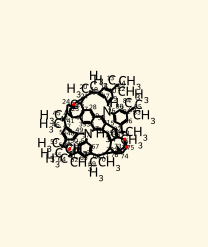 CC(C)(C)c1cc(N2c3cc(C(C)(C)C)cc(c3)C(C)(C)C3C4CC5CC3c3cc6c2c2cc7c8cc2c2c6cc3C(C4)C5C(C)(C)c3cc(cc(C(C)(C)C)c3)N2c2cc(C(C)(C)C)cc(c2)C(C)(C)C2C3CC(CC7C3)CC82)cc(C(C)(C)C)c1